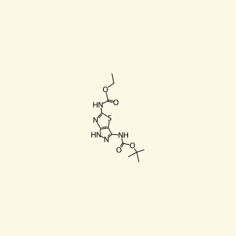 CCOC(=O)Nc1nc2[nH]nc(NC(=O)OC(C)(C)C)c2s1